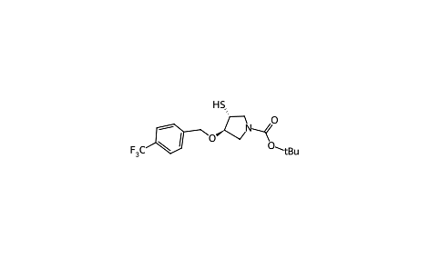 CC(C)(C)OC(=O)N1C[C@@H](S)[C@H](OCc2ccc(C(F)(F)F)cc2)C1